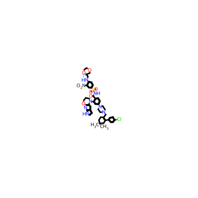 CC1(C)CCC(CN2CCN(c3ccc(C(=O)NS(=O)(=O)c4ccc(NCC5(F)COCCO5)c([N+](=O)[O-])c4)c(N4CCCOc5nc6[nH]ccc6cc54)c3)CC2)=C(c2ccc(Cl)cc2)C1